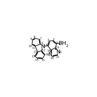 Bc1ccc(-n2c3ccccc3c3ccccc32)c2nccnc12